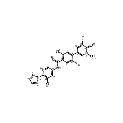 Cn1cc(-c2cc(Cl)c(C(=O)Nc3cnc(-n4nccn4)c(Cl)c3)cc2F)cc(F)c1=O